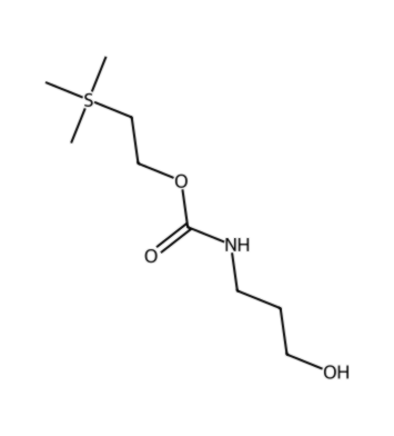 CS(C)(C)CCOC(=O)NCCCO